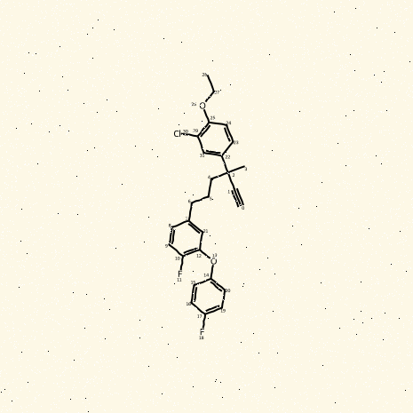 C#CC(C)(CCCc1ccc(F)c(Oc2ccc(F)cc2)c1)c1ccc(OCC)c(Cl)c1